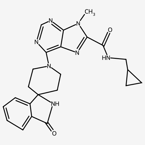 Cn1c(C(=O)NCC2CC2)nc2c(N3CCC4(CC3)NC(=O)c3ccccc34)ncnc21